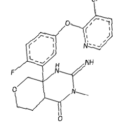 CN1C(=N)NC2(c3cc(Oc4ncccc4Cl)ccc3F)COCCC2C1=O